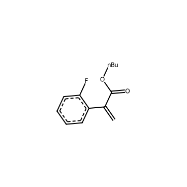 C=C(C(=O)OCCCC)c1ccccc1F